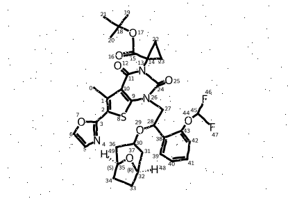 Cc1c(-c2ncco2)sc2c1c(=O)n(C1(C(=O)OC(C)(C)C)CC1)c(=O)n2CC(OC1C[C@H]2CC[C@@H](C1)O2)c1ccccc1OC(F)F